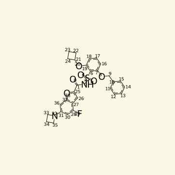 O=C(NS(=O)(=O)c1c(OCc2ccccc2)cccc1OC1CCC1)c1cc2c(F)cc(N3CCC3)cc2o1